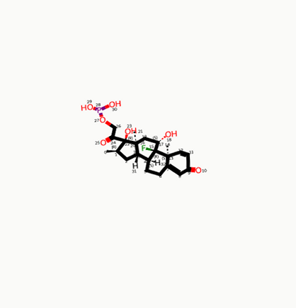 C[C@@H]1C[C@H]2[C@@H]3CCC4=CC(=O)C=C[C@]4(C)[C@@]3(F)[C@@H](O)C[C@]2(C)[C@@]1(O)C(=O)COP(O)O